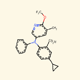 Cc1cc(N(c2ccccc2)c2ccc(C3CC3)cc2C(=O)O)cnc1OC(F)(F)F